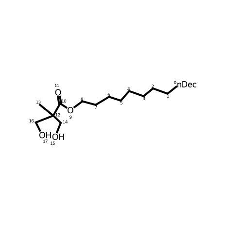 CCCCCCCCCCCCCCCCCCOC(=O)C(C)(CO)CO